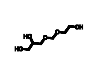 OCCOCOCC(O)CO